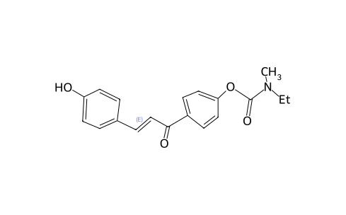 CCN(C)C(=O)Oc1ccc(C(=O)/C=C/c2ccc(O)cc2)cc1